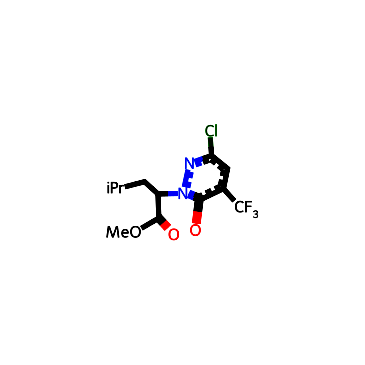 COC(=O)C(CC(C)C)n1nc(Cl)cc(C(F)(F)F)c1=O